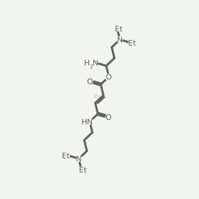 CCN(CC)CCCNC(=O)/C=C/C(=O)OC(N)CCN(CC)CC